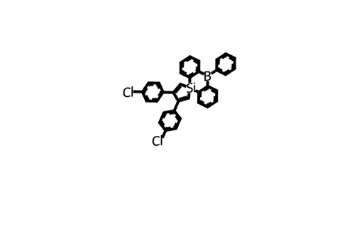 Clc1ccc(C2=C[Si]3(C=C2c2ccc(Cl)cc2)c2ccccc2B(c2ccccc2)c2ccccc23)cc1